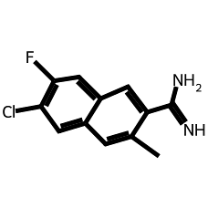 Cc1cc2cc(Cl)c(F)cc2cc1C(=N)N